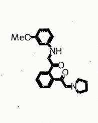 COc1cccc(NCC(=O)c2ccccc2C(=O)CN2CCCC2)c1